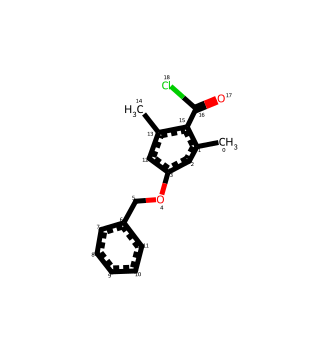 Cc1cc(OCc2ccccc2)cc(C)c1C(=O)Cl